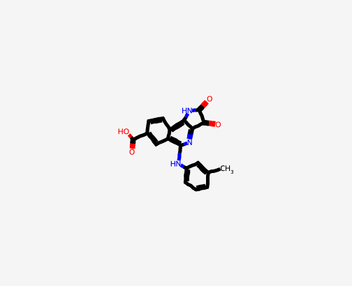 Cc1cccc(Nc2nc3c(c4ccc(C(=O)O)cc24)NC(=O)C3=O)c1